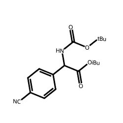 CC(C)COC(=O)C(NC(=O)OC(C)(C)C)c1ccc(C#N)cc1